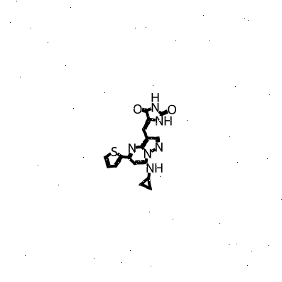 O=C1NC(=O)C(=Cc2cnn3c(NC4CC4)cc(-c4cccs4)nc23)N1